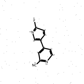 N#Cc1cc(-c2ccc(F)nc2)ccn1